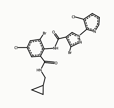 O=C(Nc1c(Br)cc(Cl)cc1C(=O)NCC1CC1)c1cn(-c2ncccc2Cl)nc1Br